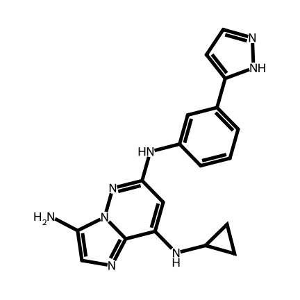 Nc1cnc2c(NC3CC3)cc(Nc3cccc(-c4ccn[nH]4)c3)nn12